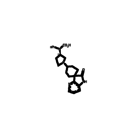 CCCN(C(=O)O)[C@@H]1CCN(C2CCC3(CC2)C(=O)Nc2cccnc23)C1